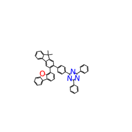 CC1(C)c2ccccc2-c2cc(-c3cccc4c3oc3ccccc34)c(-c3ccc(-c4nc(-c5ccccc5)nc(-c5ccccc5)n4)cc3)cc21